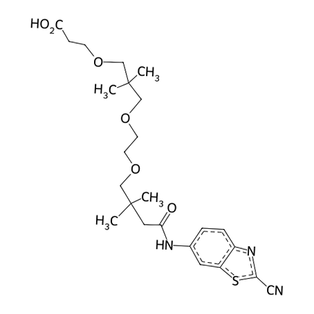 CC(C)(COCCOCC(C)(C)CC(=O)Nc1ccc2nc(C#N)sc2c1)COCCC(=O)O